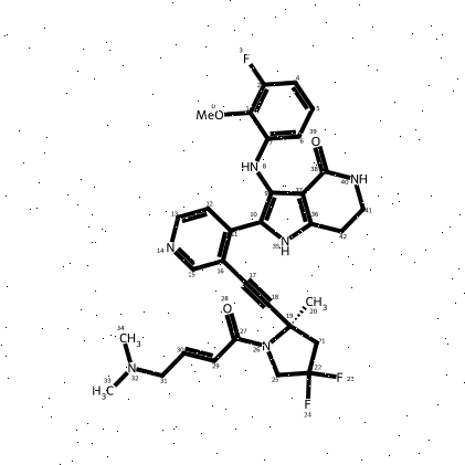 COc1c(F)cccc1Nc1c(-c2ccncc2C#C[C@@]2(C)CC(F)(F)CN2C(=O)/C=C/CN(C)C)[nH]c2c1C(=O)NCC2